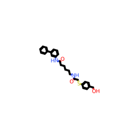 O=C(CSc1ccc(CO)cc1)NCCCCCC(=O)Nc1cccc(-c2ccccc2)c1